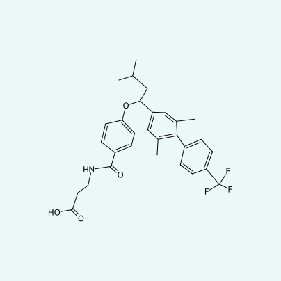 Cc1cc(C(CC(C)C)Oc2ccc(C(=O)NCCC(=O)O)cc2)cc(C)c1-c1ccc(C(F)(F)F)cc1